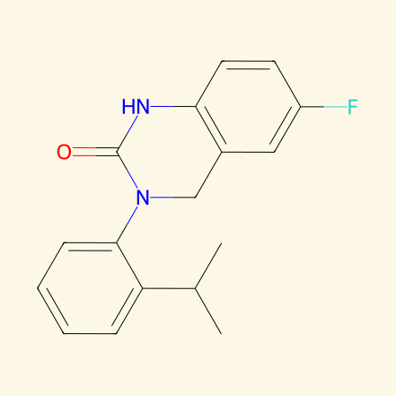 CC(C)c1ccccc1N1Cc2cc(F)ccc2NC1=O